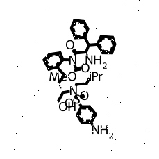 COC(=O)N(C(=O)[C@@H](N)C(c1ccccc1)c1ccccc1)c1ccccc1CC[C@@H](CO)N(CCC(C)C)S(=O)(=O)c1ccc(N)cc1